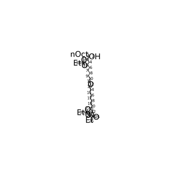 CCCCCCCCC(O)C(CCCCCCCCOCCCCCCCCC(COC(=O)CC)OC(=O)CC)OC(=O)CC